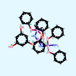 CP(C)(N[PH](N[PH](N)(Oc1ccccc1)Oc1ccccc1)(Oc1ccccc1)Oc1cc(O)cc(O)c1)(Oc1ccccc1)Oc1ccccc1